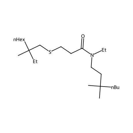 CCCCCCC(C)(CC)CSCCC(=O)N(CC)CCC(C)(C)CCCC